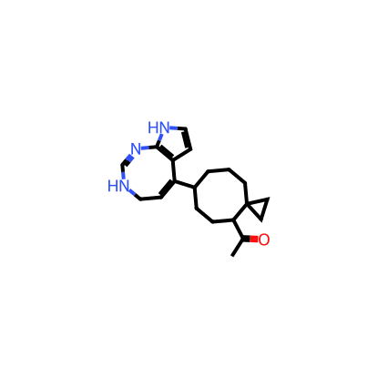 CC(=O)C1CCC(/C2=C/CN/C=N\c3[nH]ccc32)CCCC12CC2